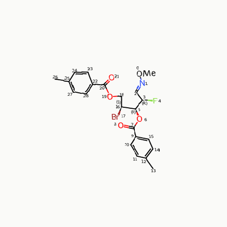 CON=C[C@@H](F)[C@@H](OC(=O)c1ccc(C)cc1)[C@@H](Br)COC(=O)c1ccc(C)cc1